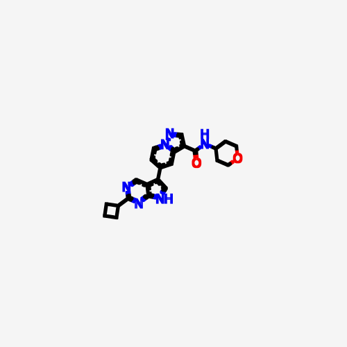 O=C(NC1CCOCC1)c1cnn2ccc(-c3c[nH]c4nc(C5CCC5)ncc34)cc12